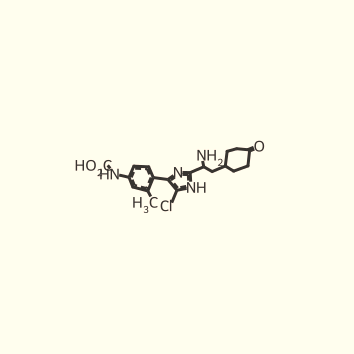 Cc1cc(NC(=O)O)ccc1-c1nc(C(N)CC2CCC(=O)CC2)[nH]c1Cl